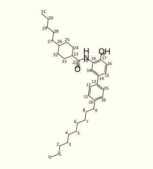 CCCCCCCCCCc1ccc(-c2ccc(O)c(NC(=O)C3CCC(CCCCC)CC3)c2)cc1